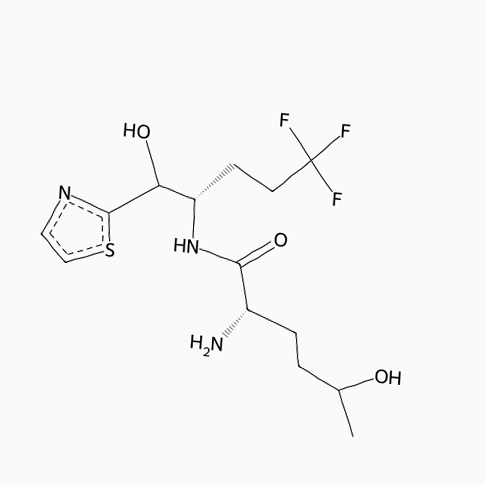 CC(O)CC[C@H](N)C(=O)N[C@@H](CCC(F)(F)F)C(O)c1nccs1